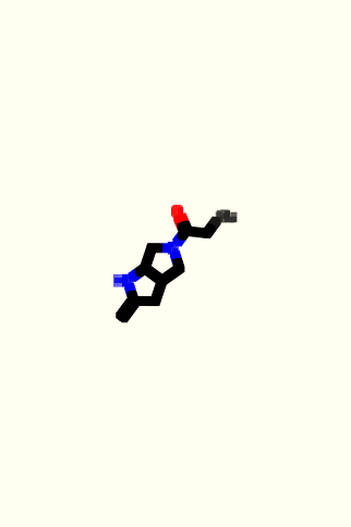 C=C1CC2CN(C(=O)CC(C)(C)C)CC2N1